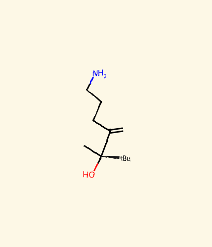 C=C(CCCN)[C@@](C)(O)C(C)(C)C